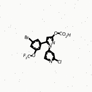 O=C(O)Oc1cc(-c2cc(Br)cc(OC(F)(F)F)c2)n(-c2ccnc(Cl)c2)n1